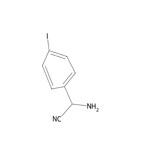 N#CC(N)c1ccc(I)cc1